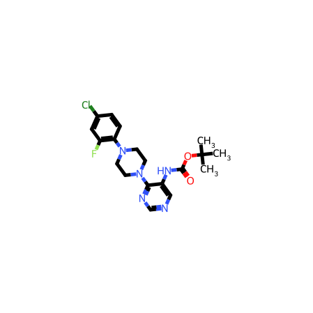 CC(C)(C)OC(=O)Nc1cncnc1N1CCN(c2ccc(Cl)cc2F)CC1